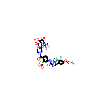 COc1ccc(-c2cnc(C(=O)Nc3ccc(C(=O)N4CCN(C(=O)[C@@H]5[C@@H](O)[C@@H](O)C[N+]5(C)C)CC4)c(Cl)c3)n2C)c(F)c1F.O=C[O-]